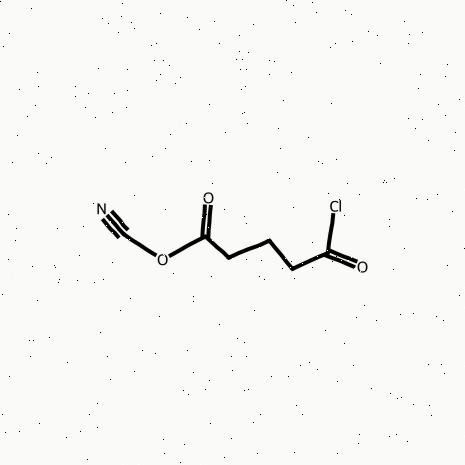 N#COC(=O)CCCC(=O)Cl